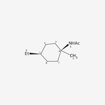 CC[C@H]1CC[C@@](C)(NC(C)=O)CC1